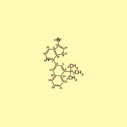 CC(C)(C)c1cc(-c2nccc3c(Br)csc23)cc2ccccc12